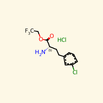 Cl.N[C@@H](CCc1cccc(Cl)c1)C(=O)OCC(F)(F)F